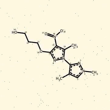 Cc1cn(C)nc1-n1nc(OCCCO)c([N+](=O)[O-])c1C